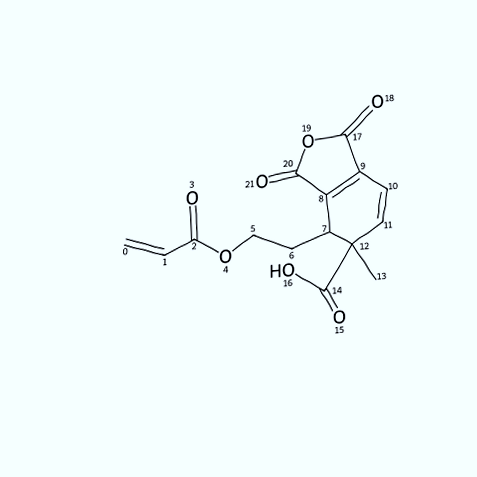 C=CC(=O)OCCC1C2=C(C=CC1(C)C(=O)O)C(=O)OC2=O